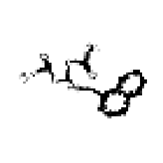 NC(=O)OC(NCc1cccc2ccccc12)OC(N)=O